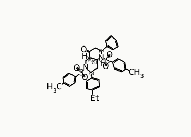 CCc1ccc([C@@H]2C[C@H]3[C@@H](CN2S(=O)(=O)c2ccc(C)cc2)C(=O)C[C@@H](c2ccccc2)N3S(=O)(=O)c2ccc(C)cc2)cc1